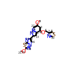 COc1cc(OCc2cscn2)c2cc(-c3cn4nc(OC)sc4n3)nn2c1